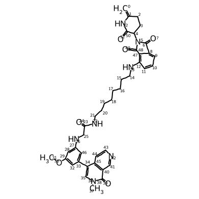 C=C1CCC(N2C(=O)c3cccc(NCCCCCCCCNC(=O)CNc4cc(OC)cc(-c5cn(C)c(=O)c6cnccc56)c4)c3C2=O)C(=O)N1